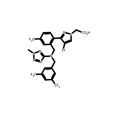 CCc1cn(CC(=O)O)nc1-c1ccc(C(F)(F)F)cc1CN(Cc1cc(C(F)(F)F)cc(C(F)(F)F)c1)c1nnn(C)n1